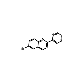 Brc1ccc2nc(-c3ccccn3)ccc2c1